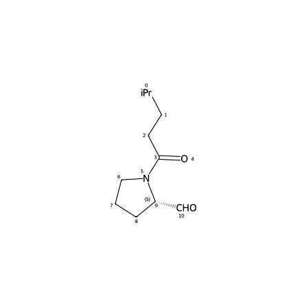 CC(C)CCC(=O)N1CCC[C@H]1C=O